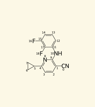 N#Cc1ccc(C2CC2)nc1Nc1cccc(F)c1F